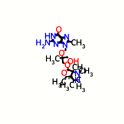 CC[C@H](C(C)C)C(C)(NC)C(=O)OCC(C)(CO)OCn1c(C)nc2c(=O)[nH]c(N)nc21